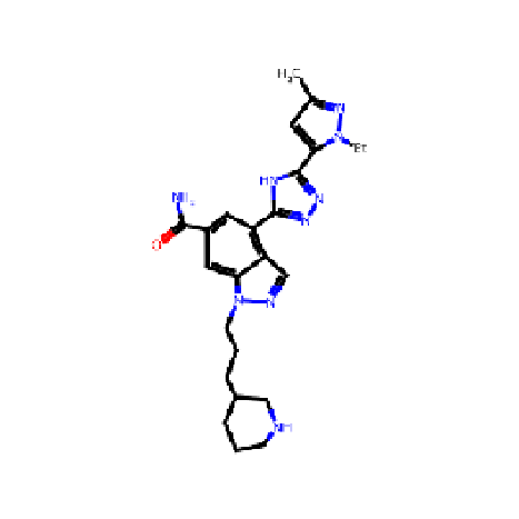 CCn1nc(C)cc1-c1nnc(-c2cc(C(N)=O)cc3c2cnn3CCCC2CCCNC2)[nH]1